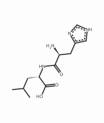 CC(C)C[C@H](NC(=O)[C@@H](N)Cc1c[nH]cn1)C(=O)O